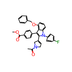 COC(=O)c1ccc(-c2c(C3=CCN(C(C)=O)C3)n(-c3ccc(F)cc3)c3cccc(OCc4ccccc4)c23)cc1